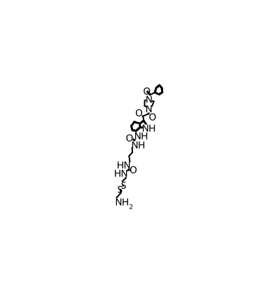 NCCSSCCNC(=O)NCCCCNC(=O)Nc1cccc2c(C(=O)C(=O)N3CCN(C(=O)c4ccccc4)CC3)c[nH]c12